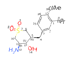 CCCc1cc(C[C@@H]2CS(=O)(=O)C[C@H](N)[C@H]2O)ccc1OC